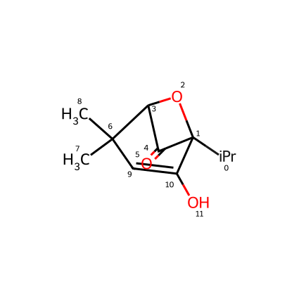 CC(C)C12OC(C1=O)C(C)(C)C=C2O